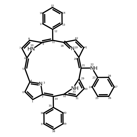 C1=Cc2nc1cc1ccc([nH]1)c(-c1ccccc1)c1nc(c(Nc3ccccc3)c3ccc([nH]3)c2-c2ccccc2)C=C1